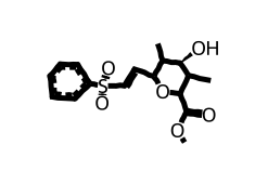 COC(=O)C1OC(/C=C/S(=O)(=O)c2ccccc2)C(C)[C@@H](O)C1C